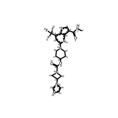 CNC(=O)c1csc2c(C(F)(F)F)cc(N3CCC(OC(=O)N4CC(n5ccnc5)C4)CC3)nc12